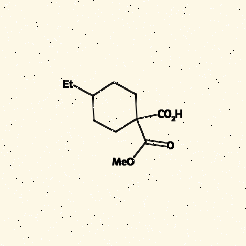 CCC1CCC(C(=O)O)(C(=O)OC)CC1